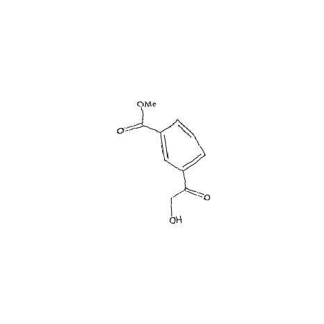 COC(=O)c1cccc(C(=O)CO)c1